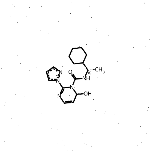 C[C@H](NC(=O)N1C(n2cccn2)=NC=CC1O)C1CCCCC1